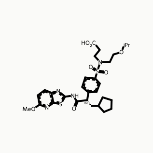 COc1ccc2nc(NC(=O)[C@@H](CC3CCCC3)c3ccc(S(=O)(=O)N(CCOC(C)C)CCC(=O)O)cc3)sc2n1